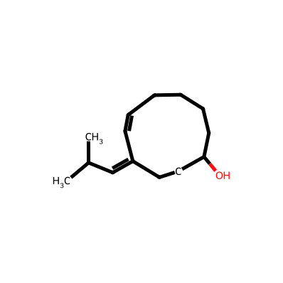 CC(C)C=C1C=CCCCCC(O)CC1